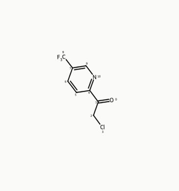 O=C(CCl)c1ccc(C(F)(F)F)cn1